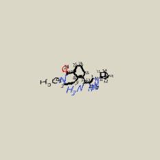 Cn1ccc2c([C@H](N)c3cn(C45CCC(C4)C5)nn3)cccc2c1=O